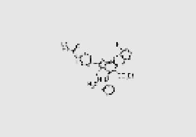 CCNC(=O)Nc1ccc(-c2nc3n(Cc4c(F)cccc4F)cc(C(=O)OCC)c(=O)n3c2CN(C)Cc2ccccc2)cc1